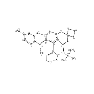 CC(C)c1nc2c(c(C3=CCOCC3)c1C(O)c1ccc(C(C)(C)C)cc1)[C@H](O[Si](C)(C)C(C)(C)C)CC1(CCC1)C2